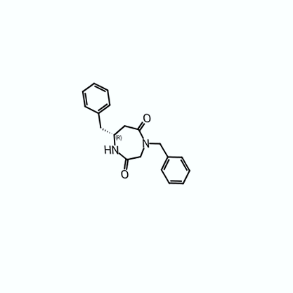 O=C1CN(Cc2ccccc2)C(=O)C[C@@H](Cc2ccccc2)N1